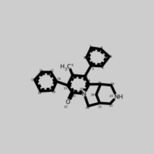 Cc1c(-c2ccccc2)c2n(c(=O)c1-c1ccccc1)CC1CNCC2C1